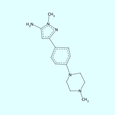 CN1CCN(c2ccc(-c3cc(N)n(C)n3)cc2)CC1